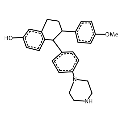 COc1ccc(C2CCc3cc(O)ccc3C2c2ccc(N3CCNCC3)cc2)cc1